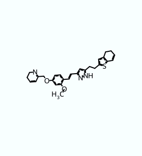 COc1cc(OCC2=NCCC=C2)ccc1/C=C/c1cc(CCc2cc3c(s2)C=CCC3)[nH]n1